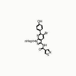 CCCCCCCn1nc(NC(=O)c2cnsc2)c2cc(Br)c(-c3ccc(O)cc3)nc21